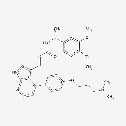 COc1ccc([C@@H](C)NC(=O)/C=C/c2c[nH]c3nccc(-c4ccc(OCCCN(C)C)cc4)c23)cc1OC